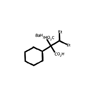 CCC(CC)C(C(=O)O)(C(=O)O)C1CCCCC1.[BaH2]